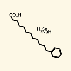 O=C(O)CCCCCCCCCCCc1ccccc1.[NaH].[SeH2]